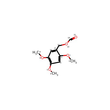 COc1cc(OC)c(OC)cc1CO[C]=O